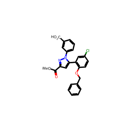 COC(=O)c1cc(-c2cc(Cl)ccc2OCc2ccccc2)n(-c2cccc(C(=O)O)c2)n1